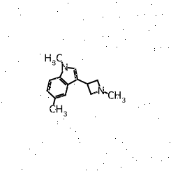 Cc1ccc2c(c1)c(C1CN(C)C1)cn2C